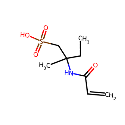 C=CC(=O)NC(C)(CC)CS(=O)(=O)O